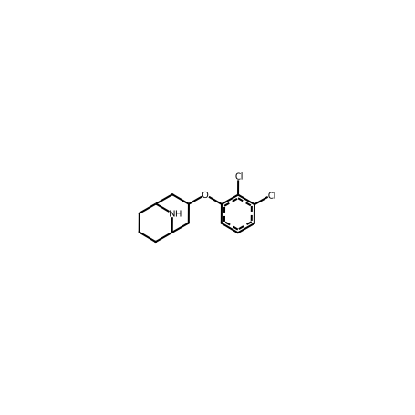 Clc1cccc(OC2CC3CCCC(C2)N3)c1Cl